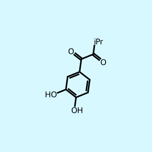 CC(C)C(=O)C(=O)c1ccc(O)c(O)c1